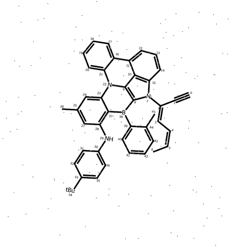 C#C/C(=C\C=C/C)n1c2c3c4c(cccc41)-c1ccccc1N3c1cc(C)cc(Nc3ccc(C(C)(C)C)cc3)c1B2c1ccccc1C